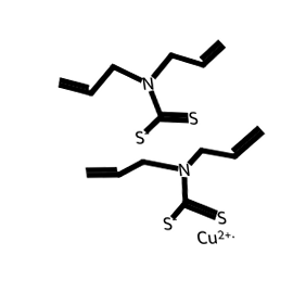 C=CCN(CC=C)C(=S)[S-].C=CCN(CC=C)C(=S)[S-].[Cu+2]